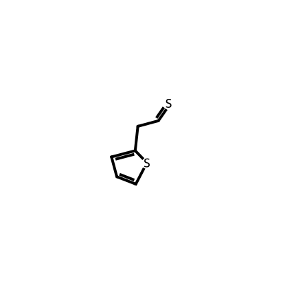 S=CCc1cccs1